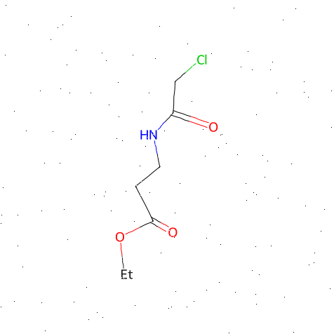 CCOC(=O)CCNC(=O)CCl